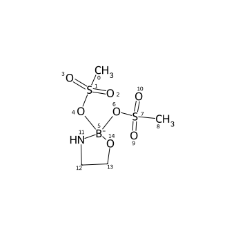 CS(=O)(=O)O[B-]1(OS(C)(=O)=O)NCCO1